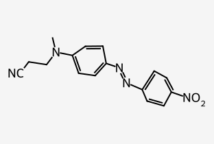 CN(CCC#N)c1ccc(/N=N/c2ccc([N+](=O)[O-])cc2)cc1